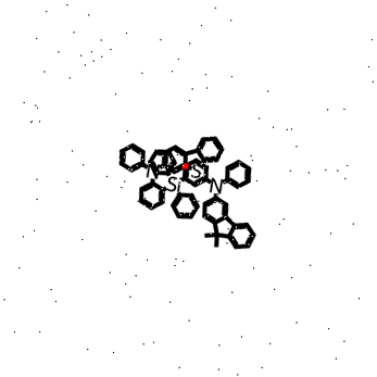 CC1(C)c2ccccc2-c2cc(N(c3ccccc3)c3cccc([Si](c4ccccc4)(c4ccccc4)c4ccccc4N(c4ccccc4)c4ccc5c(c4)sc4ccccc45)c3)ccc21